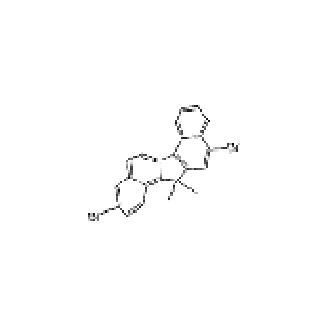 CC1(C)c2cc(Br)c3ccccc3c2-c2ccc3cc(Br)ccc3c21